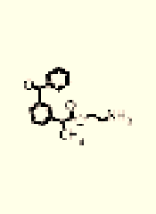 CC(C(=O)OCCN)c1cccc(C(=O)c2ccccc2)c1